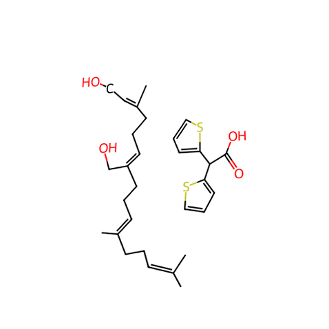 CC(C)=CCCC(C)=CCCC(=CCCC(C)=CCO)CO.O=C(O)C(c1cccs1)c1cccs1